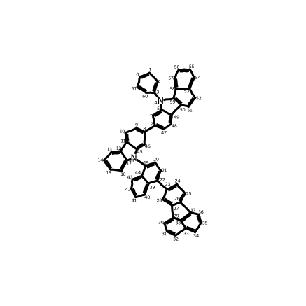 c1ccc(-n2c3cc(-c4ccc5c6ccccc6n(-c6ccc(-c7ccc8c(c7)-c7cccc9cccc-8c79)c7ccccc67)c5c4)ccc3c3ccc4ccccc4c32)cc1